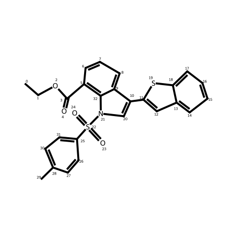 CCOC(=O)c1cccc2c(-c3cc4ccccc4s3)cn(S(=O)(=O)c3ccc(C)cc3)c12